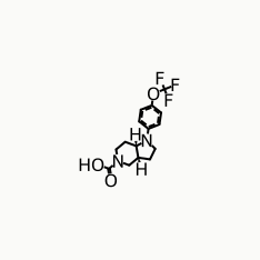 O=C(O)N1CC[C@H]2[C@H](CCN2c2ccc(OC(F)(F)F)cc2)C1